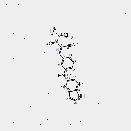 CN(C)C(=O)/C(C#N)=C/c1cccc(Nc2cnc3[nH]ccc3n2)c1